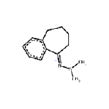 CN(C)/N=C1\CCCCc2ccccc21